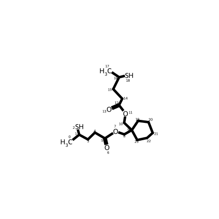 CC(S)CCC(=O)OCC1(COC(=O)CCC(C)S)CCCCC1